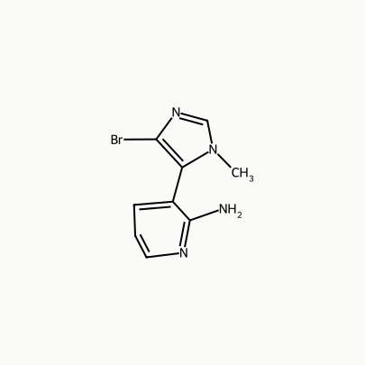 Cn1cnc(Br)c1-c1cccnc1N